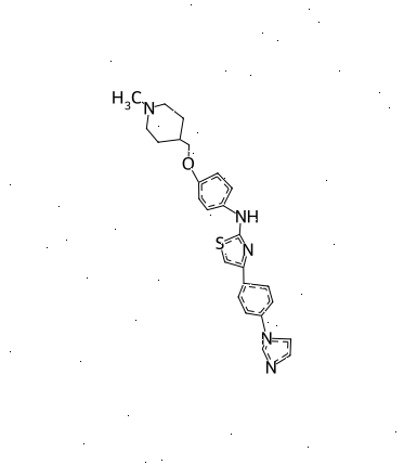 CN1CCC(COc2ccc(Nc3nc(-c4ccc(-n5ccnc5)cc4)cs3)cc2)CC1